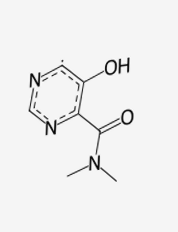 CN(C)C(=O)c1ncn[c]c1O